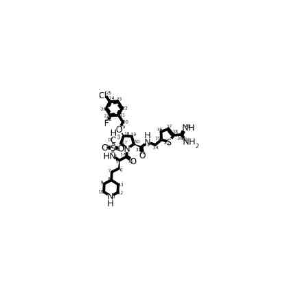 CS(=O)(=O)N[C@H](CCC1CCNCC1)C(=O)N1C[C@H](OCc2ccc(Cl)cc2F)C[C@H]1C(=O)NCC1CC=C(C(=N)N)S1